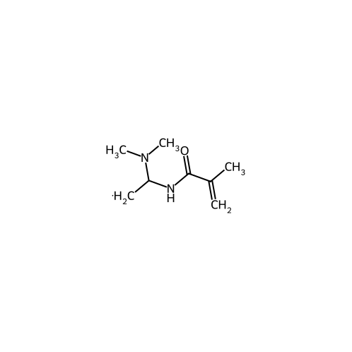 [CH2]C(NC(=O)C(=C)C)N(C)C